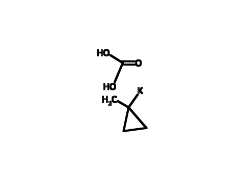 C[C]1([K])CC1.O=C(O)O